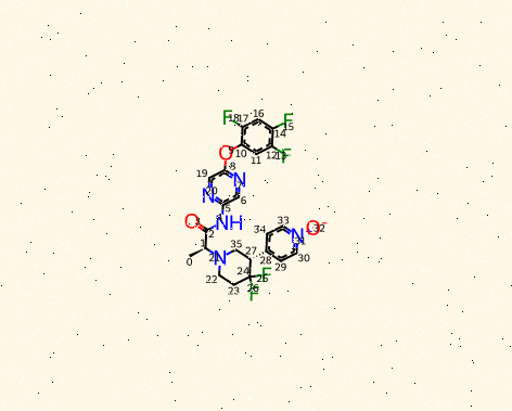 C[C@@H](C(=O)Nc1cnc(Oc2cc(F)c(F)cc2F)cn1)N1CCC(F)(F)[C@@H](c2cc[n+]([O-])cc2)C1